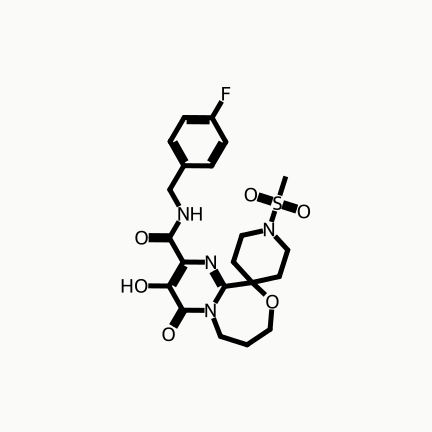 CS(=O)(=O)N1CCC2(CC1)OCCCn1c2nc(C(=O)NCc2ccc(F)cc2)c(O)c1=O